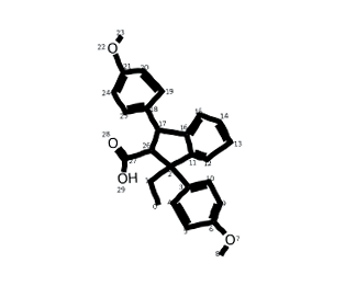 CCC1(c2ccc(OC)cc2)c2ccccc2C(c2ccc(OC)cc2)C1C(=O)O